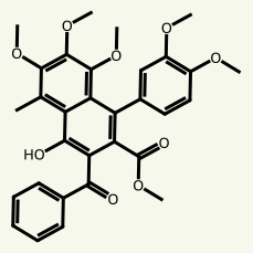 COC(=O)c1c(C(=O)c2ccccc2)c(O)c2c(C)c(OC)c(OC)c(OC)c2c1-c1ccc(OC)c(OC)c1